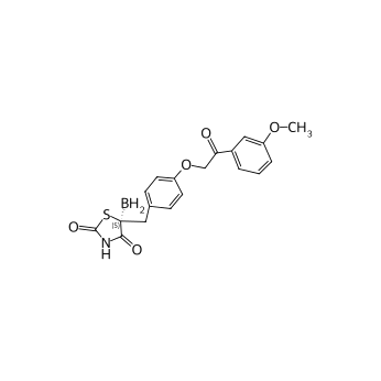 B[C@@]1(Cc2ccc(OCC(=O)c3cccc(OC)c3)cc2)SC(=O)NC1=O